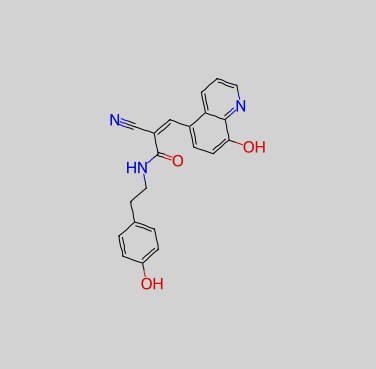 N#CC(=Cc1ccc(O)c2ncccc12)C(=O)NCCc1ccc(O)cc1